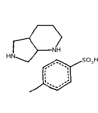 C1CNC2CNCC2C1.Cc1ccc(S(=O)(=O)O)cc1